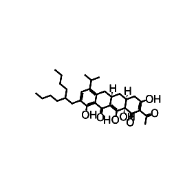 CCCCC(CCCC)Cc1cc(C(C)C)c2c(c1O)C(=O)C1=C(O)[C@]3(O)C(=O)C(C(C)=O)=C(O)C[C@@H]3C[C@@H]1C2